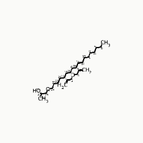 C=CCOCC=C.CCCCCCCCCCCCCCCCCCOCC(C)O